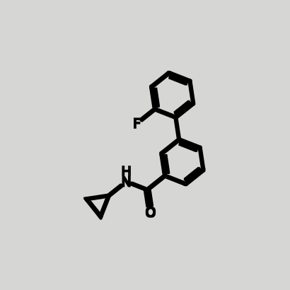 O=C(NC1CC1)c1cccc(-c2ccccc2F)c1